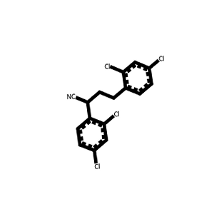 N#CC(CCc1ccc(Cl)cc1Cl)c1ccc(Cl)cc1Cl